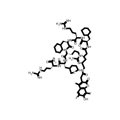 Cc1c(CC(=O)NCCCCCC(=O)N[C@H](CC2CCCCC2)C(=O)N[C@H](CCCNC(=N)N)C(=O)N[C@H](CC2CCCCC2)C(=O)N[C@H](CCCNC(=N)N)C(=O)N[C@H](CC2CCCCC2)C(=O)N[C@H](CCCNC(=N)N)C(N)=O)c(=O)oc2c(F)c(O)c(F)cc12